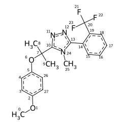 COc1ccc(OC(C)(C)c2nnc(-c3ccccc3C(F)(F)F)n2C)cc1